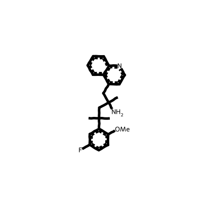 COc1ccc(F)cc1C(C)(C)CC(C)(N)Cc1ccnc2ccccc12